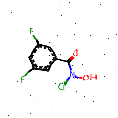 O=C(c1cc(F)cc(F)c1)N(O)Cl